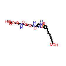 O=C(O)CCCCCCCCCCCc1ccc(S(=O)(=O)Nc2ccc(C(=O)NCCOCCOCC(=O)NCCOCCOCC(=O)O)cn2)cc1